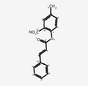 Cc1ccc(OC(=O)C=Cc2ccccc2)c(C(=O)O)c1